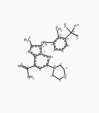 Cc1nc2c(C(=N)N)cc(N3CCOCC3)nn2c1Nc1cccc(C(F)(F)F)c1C